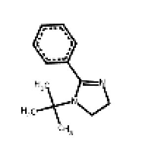 CC(C)(C)N1CCN=C1c1ccccc1